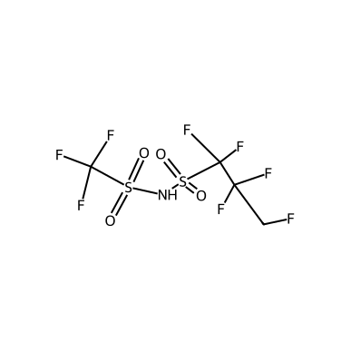 O=S(=O)(NS(=O)(=O)C(F)(F)C(F)(F)CF)C(F)(F)F